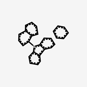 c1ccc2c(-n3c4ccccc4c4ccccc43)cccc2c1.c1ccccc1